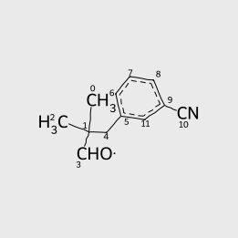 CC(C)([C]=O)Cc1cccc(C#N)c1